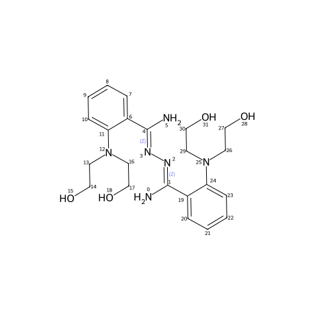 N/C(=N\N=C(/N)c1ccccc1N(CCO)CCO)c1ccccc1N(CCO)CCO